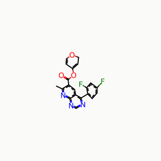 Cc1nc2ncnc(-c3ccc(F)cc3F)c2cc1C(=O)OC1=CCOC=C1